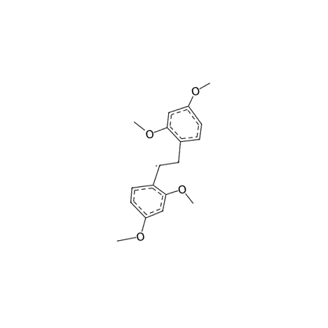 COc1ccc([CH]Cc2ccc(OC)cc2OC)c(OC)c1